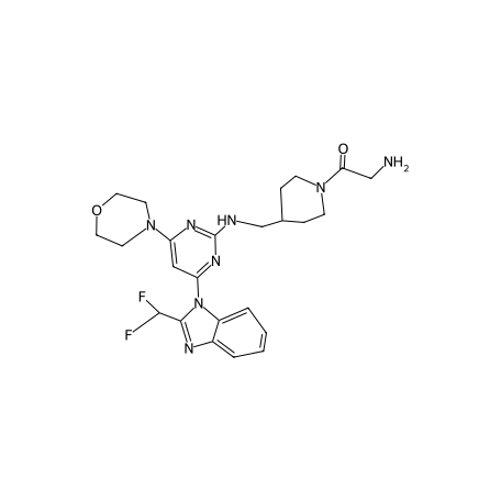 NCC(=O)N1CCC(CNc2nc(N3CCOCC3)cc(-n3c(C(F)F)nc4ccccc43)n2)CC1